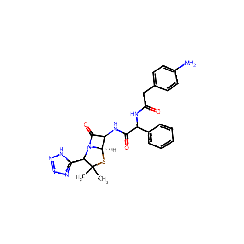 CC1(C)S[C@@H]2C(NC(=O)C(NC(=O)Cc3ccc(N)cc3)c3ccccc3)C(=O)N2C1c1nnn[nH]1